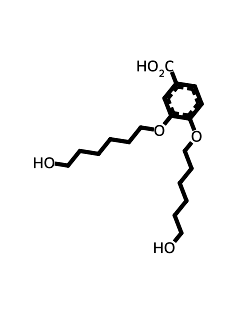 O=C(O)c1ccc(OCCCCCCO)c(OCCCCCCO)c1